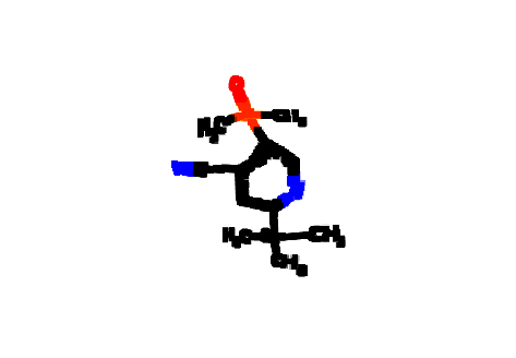 CP(C)(=O)c1cn[c]([Sn]([CH3])([CH3])[CH3])cc1C#N